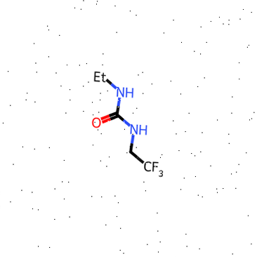 CCNC(=O)NCC(F)(F)F